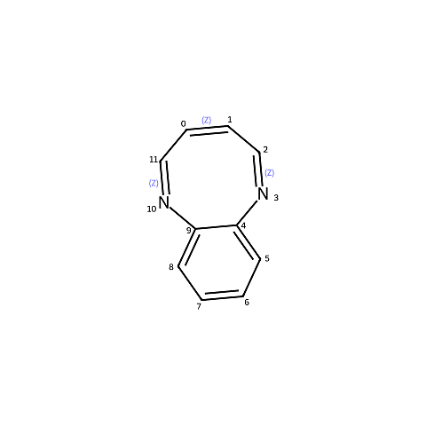 C1=C\C=N/c2ccccc2\N=C/1